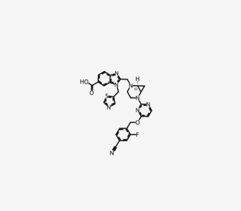 N#Cc1ccc(COc2ccnc(N3CCN(Cc4nc5ccc(C(=O)O)cc5n4Cc4cncs4)[C@H]4CC43)n2)c(F)c1